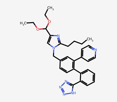 CCCCc1nc(C(OCC)OCC)cn1Cc1ccc(-c2ccccc2-c2nnn[nH]2)c(-c2ccncc2)c1